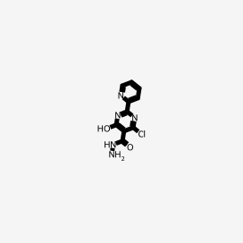 NNC(=O)c1c(O)nc(-c2ccccn2)nc1Cl